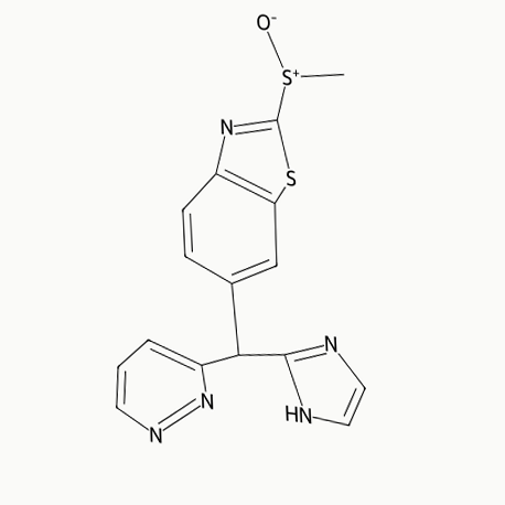 C[S+]([O-])c1nc2ccc(C(c3cccnn3)c3ncc[nH]3)cc2s1